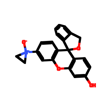 [O-][N+]1(c2ccc3c(c2)Oc2cc(O)ccc2C32OCc3ccccc32)CC1